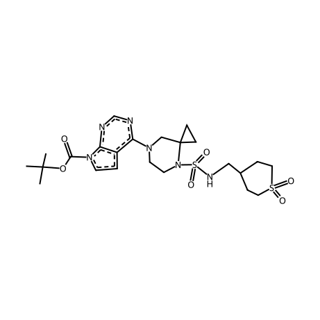 CC(C)(C)OC(=O)n1ccc2c(N3CCN(S(=O)(=O)NCC4CCS(=O)(=O)CC4)C4(CC4)C3)ncnc21